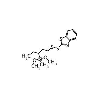 CCC(CCSSc1nc2ccccc2s1)[Si](C)(OC)OC